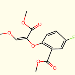 COC=C(Oc1ccc(F)cc1C(=O)OC)C(=O)OC